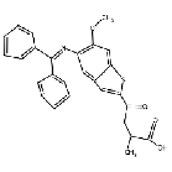 COc1cc2sc(C(=O)CC(C)C(=O)O)cc2cc1N=C(c1ccccc1)c1ccccc1